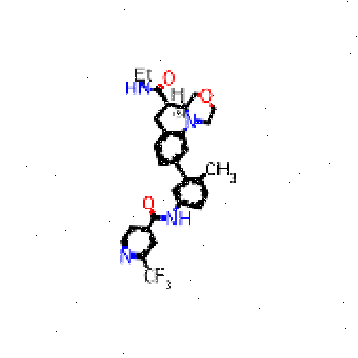 CCNC(=O)C1Cc2ccc(-c3cc(NC(=O)c4ccnc(C(F)(F)F)c4)ccc3C)cc2N2CCOC[C@H]12